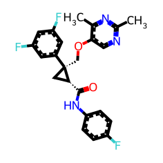 Cc1ncc(OC[C@@]2(c3cc(F)cc(F)c3)C[C@H]2C(=O)Nc2ccc(F)cc2)c(C)n1